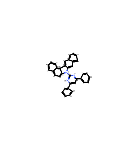 c1ccc(-c2cc(-c3ccccc3)nc(-n3c4cc5ccccc5cc4c4c5ccccc5ccc43)n2)cc1